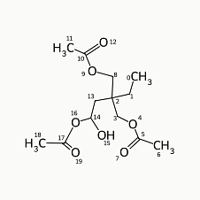 CCC(COC(C)=O)(COC(C)=O)CC(O)OC(C)=O